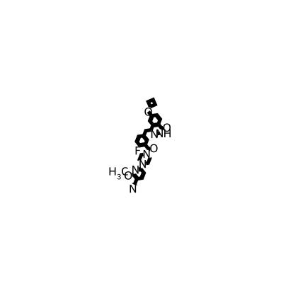 COc1nc(N2CCN(C(=O)c3cc(Cc4n[nH]c(=O)c5ccc(OC6CCC6)cc45)ccc3F)CC2)ccc1C#N